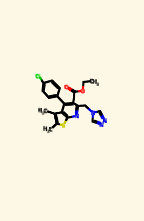 CCOC(=O)c1c(Cn2cnnc2)nc2sc(C)c(C)c2c1-c1ccc(Cl)cc1